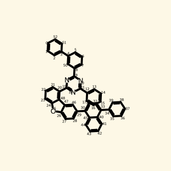 c1ccc(-c2cccc(-c3nc(-c4ccccc4)nc(-c4cccc5oc6ccc(-c7ccc(-c8ccccc8)c8ccccc78)cc6c45)n3)c2)cc1